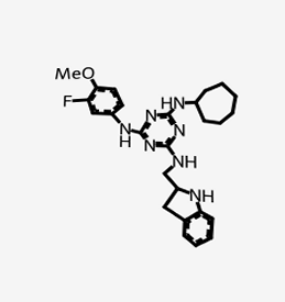 COc1ccc(Nc2nc(NCC3Cc4ccccc4N3)nc(NC3CCCCCC3)n2)cc1F